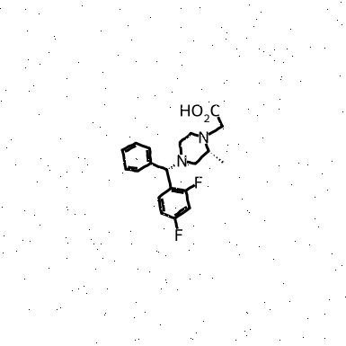 C[C@@H]1CN([C@@H](c2ccccc2)c2ccc(F)cc2F)CCN1CC(=O)O